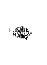 CC(C)C[C@@H](CN(C)C)OC(=O)N1Cc2c(NC(=O)c3ccc(F)cc3)n[nH]c2C1(C)C